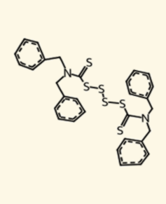 S=C(SSSSC(=S)N(Cc1ccccc1)Cc1ccccc1)N(Cc1ccccc1)Cc1ccccc1